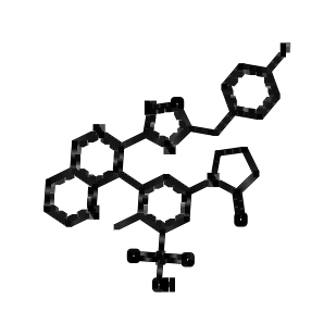 Cc1c(-c2c(-c3noc(Cc4ccc(F)cc4)n3)ncc3cccnc23)cc(N2CCCC2=O)cc1S(=O)(=O)O